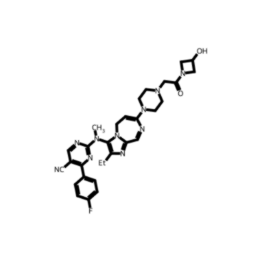 CCc1nc2n(c1N(C)c1ncc(C#N)c(-c3ccc(F)cc3)n1)CC=C(N1CCN(CC(=O)N3CC(O)C3)CC1)N=C2